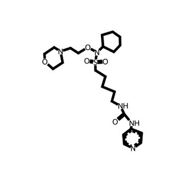 O=C(NCCCCCS(=O)(=O)N(OCCN1CCOCC1)C1CCCCC1)Nc1ccncc1